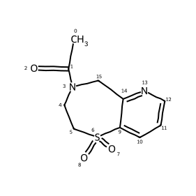 CC(=O)N1CCS(=O)(=O)c2cccnc2C1